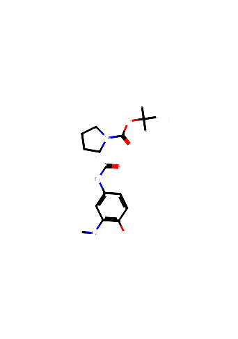 CNc1cc(NC(=O)[C@@H]2CCCN2C(=O)OC(C)(C)C)ccc1O